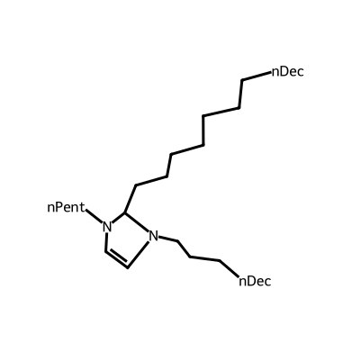 CCCCCCCCCCCCCCCCCC1N(CCCCC)C=CN1CCCCCCCCCCCCC